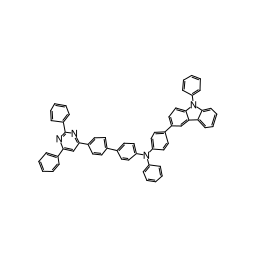 c1ccc(-c2cc(-c3ccc(-c4ccc(N(c5ccccc5)c5ccc(-c6ccc7c(c6)c6ccccc6n7-c6ccccc6)cc5)cc4)cc3)nc(-c3ccccc3)n2)cc1